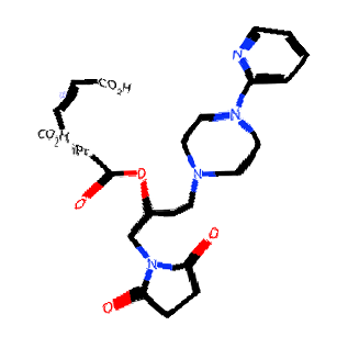 CC(C)C(=O)OC(CN1CCN(c2ccccn2)CC1)CN1C(=O)CCC1=O.O=C(O)/C=C\C(=O)O